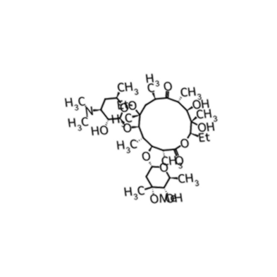 CCO[C@]1(C)C[C@@H](C)C(=O)[C@H](C)[C@@H](O)[C@](C)(O)[C@@H](CC)OC(=O)[C@H](C)[C@@H](O[C@H]2C[C@@](C)(OC)[C@@H](O)[C@H](C)O2)[C@H](C)[C@H]1O[C@@H]1O[C@H](C)C[C@H](N(C)C)[C@H]1O